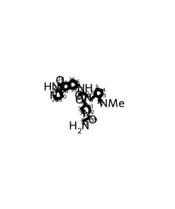 CNCc1ccccc1CN(CC(=O)Nc1ccc2c(c1)CC1(C2)C(=O)Nc2ncccc21)C(=O)C1CCN(C(=O)CN)CC1